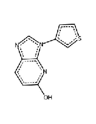 Oc1ccc2ncn(-c3ccsc3)c2n1